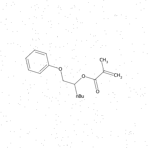 C=C(C)C(=O)OC(CCCC)COc1ccccc1